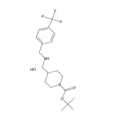 CC(C)(C)OC(=O)N1CCC(CNCc2ccc(C(F)(F)F)cc2)CC1.Cl